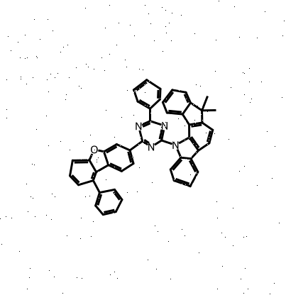 CC1(C)c2ccccc2-c2c1ccc1c3ccccc3n(-c3nc(-c4ccccc4)nc(-c4ccc5c(c4)oc4cccc(-c6ccccc6)c45)n3)c21